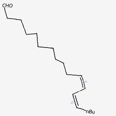 CCCC/C=C\C=C/CCCCCCCCCC=O